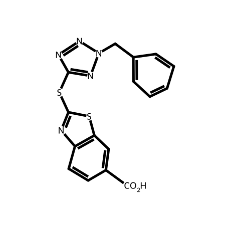 O=C(O)c1ccc2nc(Sc3nnn(Cc4ccccc4)n3)sc2c1